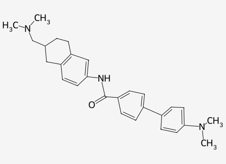 CN(C)CC1CCc2cc(NC(=O)c3ccc(-c4ccc(N(C)C)cc4)cc3)ccc2C1